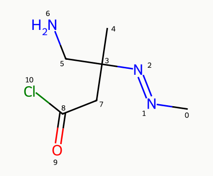 CN=NC(C)(CN)CC(=O)Cl